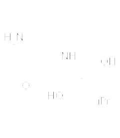 CC(C)C(O)(O)NC(N)=O